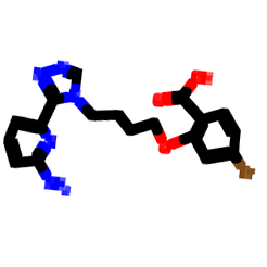 Nc1cccc(-c2nncn2CCCCOc2cc(Br)ccc2C(=O)O)n1